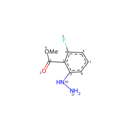 COC(=O)c1c(F)cccc1NN